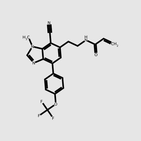 C=CC(=O)NCCc1cc(-c2ccc(OC(F)(F)F)cc2)c2ncn(C)c2c1C#N